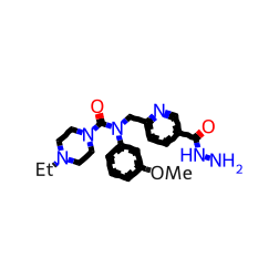 CCN1CCN(C(=O)N(Cc2ccc(C(=O)NN)cn2)c2cccc(OC)c2)CC1